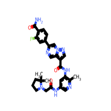 Cc1ncc(NC(=O)CN2CCCC2(C)C)cc1NC(=O)c1cnn2cc(-c3ccc(C(N)=O)c(F)c3)ncc12